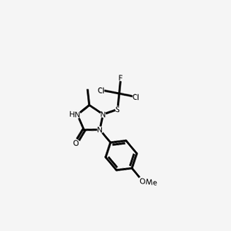 COc1ccc(N2C(=O)NC(C)N2SC(F)(Cl)Cl)cc1